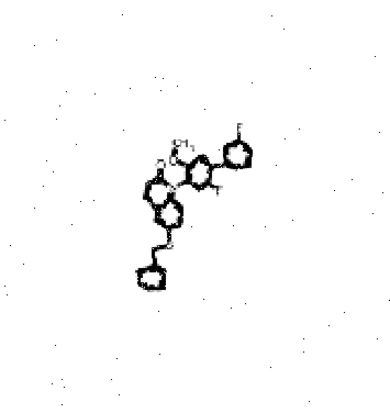 COc1cc(-c2cccc(F)c2)c(F)cc1-n1c(=O)ccc2cc(SCc3ccccc3)ccc21